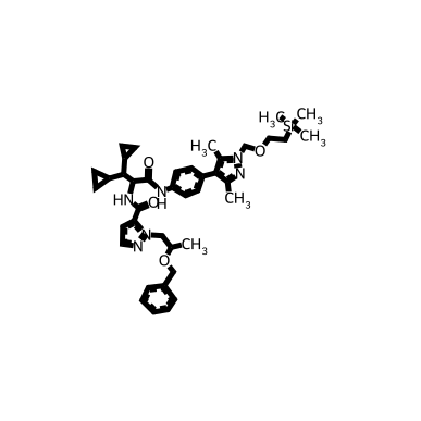 Cc1nn(COCC[Si](C)(C)C)c(C)c1-c1ccc(NC(=O)C(NC(=O)c2ccnn2CC(C)OCc2ccccc2)C(C2CC2)C2CC2)cc1